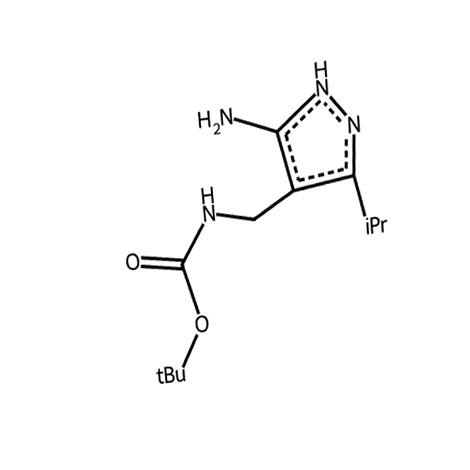 CC(C)c1n[nH]c(N)c1CNC(=O)OC(C)(C)C